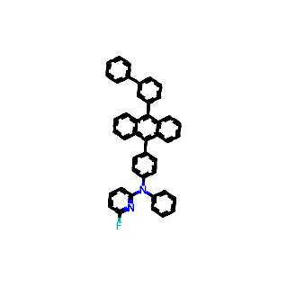 Fc1cccc(N(c2ccccc2)c2ccc(-c3c4ccccc4c(-c4cccc(-c5ccccc5)c4)c4ccccc34)cc2)n1